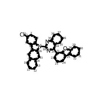 Clc1ccc2c(c1)c1cc3ccccc3cc1n2-c1nc(-c2cccc3c2oc2ccccc23)c2ccccc2n1